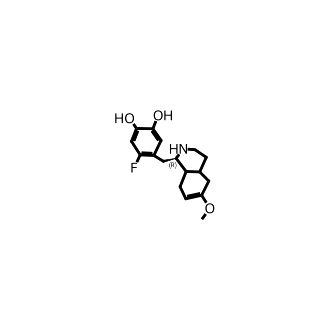 COC1=CCC2C(CCN[C@@H]2Cc2cc(O)c(O)cc2F)C1